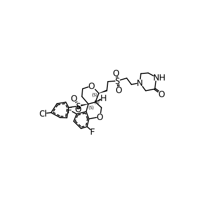 O=C1CN(CCS(=O)(=O)CC[C@@H]2OCC[C@@]3(S(=O)(=O)c4ccc(Cl)cc4)c4c(F)ccc(F)c4OC[C@@H]23)CCN1